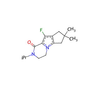 CC(C)N1CCn2c3c(c(F)c2C1=O)CC(C)(C)C3